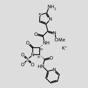 CON=C(C(=O)N[C@H]1C(=O)N(S(=O)(=O)[O-])[C@H]1C(=O)Nc1ccccn1)c1csc(N)n1.[K+]